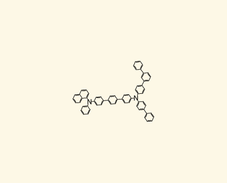 c1ccc(-c2ccc(N(c3ccc(-c4ccc(-c5ccc(N(c6ccccc6)c6cccc7ccccc67)cc5)cc4)cc3)c3ccc(-c4cccc(-c5ccccc5)c4)cc3)cc2)cc1